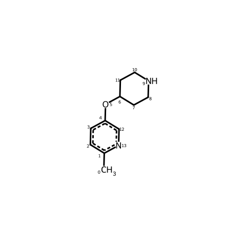 Cc1ccc(OC2CCNCC2)cn1